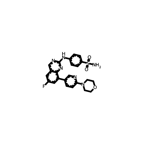 NS(=O)(=O)c1ccc(Nc2ncc3cc(F)cc(-c4ccc(N5CCOCC5)nc4)c3n2)cc1